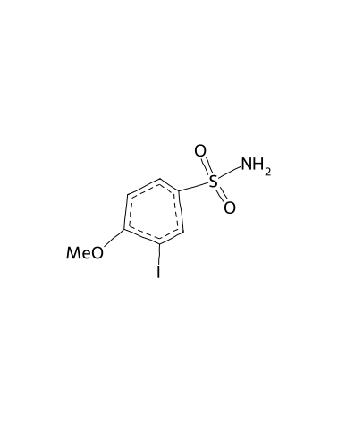 COc1ccc(S(N)(=O)=O)cc1I